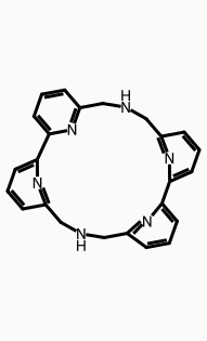 c1cc2nc(c1)-c1cccc(n1)CNCc1cccc(n1)-c1cccc(n1)CNC2